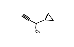 [C]#CC(O)C1CC1